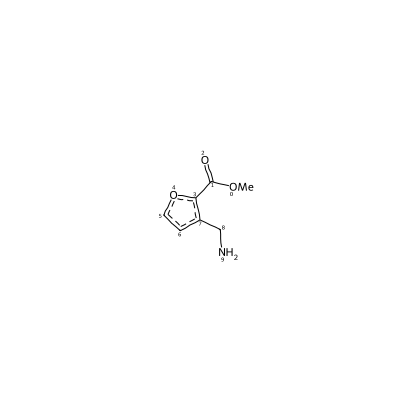 COC(=O)c1occc1CN